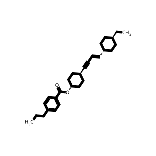 CCCc1ccc(C(=O)O[C@H]2CC[C@H](C#CC=C[C@H]3CC[C@H](CC)CC3)CC2)cc1